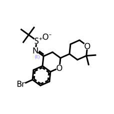 CC1(C)CC(C2C/C(=N\[S+]([O-])C(C)(C)C)c3cc(Br)ccc3O2)CCO1